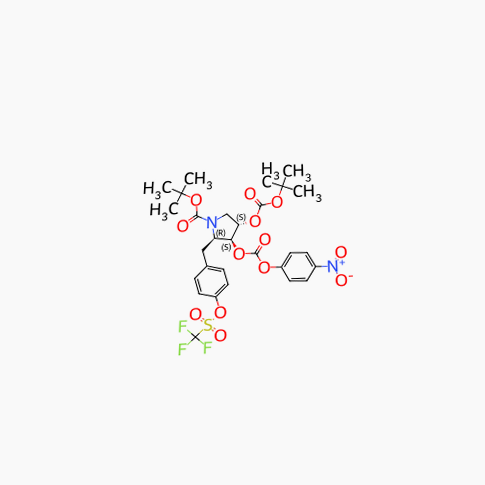 CC(C)(C)OC(=O)O[C@H]1CN(C(=O)OC(C)(C)C)[C@H](Cc2ccc(OS(=O)(=O)C(F)(F)F)cc2)[C@@H]1OC(=O)Oc1ccc([N+](=O)[O-])cc1